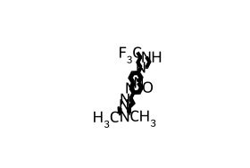 Cc1cn2nc(-c3cc(=O)n4cc(N5CCNC(C(F)(F)F)C5)ccc4n3)cc2c(C)n1